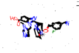 CCn1cncc1Cn1c(CN2CC[C@@]3(c4cccc(OCc5ccc(C#N)cc5F)n4)C[C@H]3C2)nc2ccc(C(=O)O)cc21